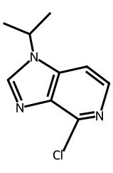 CC(C)n1cnc2c(Cl)nccc21